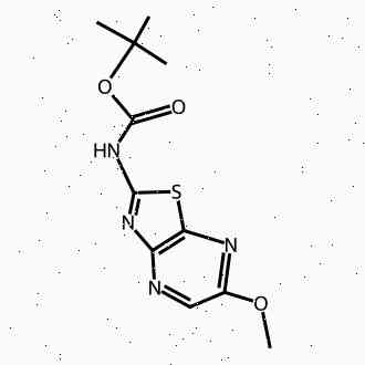 COc1cnc2nc(NC(=O)OC(C)(C)C)sc2n1